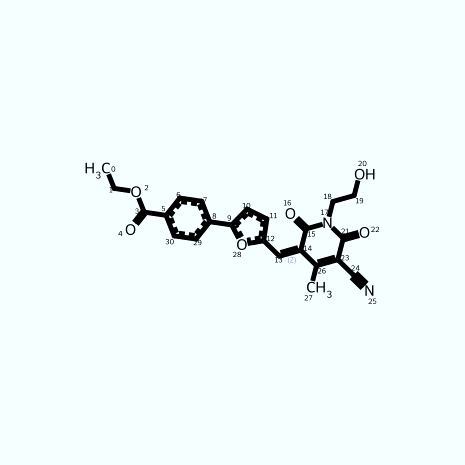 CCOC(=O)c1ccc(-c2ccc(/C=C3\C(=O)N(CCO)C(=O)C(C#N)=C3C)o2)cc1